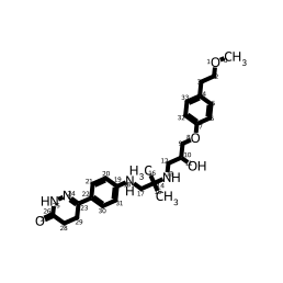 COCCc1ccc(OCC(O)CNC(C)(C)CNc2ccc(C3=NNC(=O)CC3)cc2)cc1